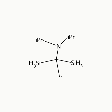 [CH2]C([SiH3])([SiH3])N(C(C)C)C(C)C